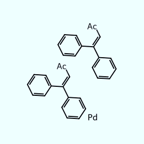 CC(=O)C=C(c1ccccc1)c1ccccc1.CC(=O)C=C(c1ccccc1)c1ccccc1.[Pd]